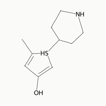 CC1=CC(O)=C[SH]1C1CCNCC1